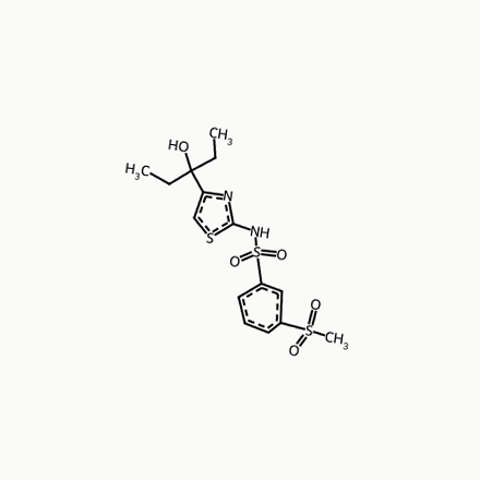 CCC(O)(CC)c1csc(NS(=O)(=O)c2cccc(S(C)(=O)=O)c2)n1